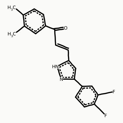 Cc1ccc(C(=O)/C=C/c2cc(-c3ccc(F)c(F)c3)n[nH]2)cc1C